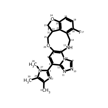 Cc1nc(-c2cc3c(n4cnnc24)NCc2c(F)ccc4c2[C@@H](CO4)CO3)n(C)c1C